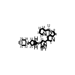 CC(C)n1nc(-c2cnc3ccn([C@@H](C)c4ccccn4)c3c2)cc1[C@H]1[C@@H]2CC(N3CCOCC3)C[C@@H]21